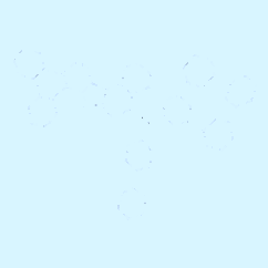 c1ccc(-c2ccc(N(c3ccc4c(c3)-c3ccccc3C43c4ccccc4-c4ccccc43)c3cc4oc5c(ccc6c7ccccc7c7ccccc7c65)c4c4ccccc34)cc2)cc1